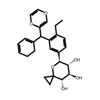 CCc1ccc([C@@H]2OC3(CC3)[C@@H](O)[C@H](O)[C@H]2O)cc1C(C1=CC=CCC1)C1=COC=CO1